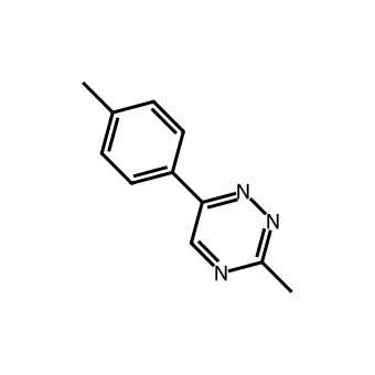 Cc1ccc(-c2cnc(C)nn2)cc1